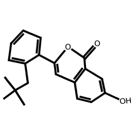 CC(C)(C)Cc1ccccc1-c1cc2ccc(O)cc2c(=O)o1